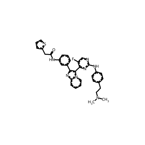 CN(C)CCc1ccc(Nc2ncc(F)c(-c3c(-c4cccc(NC(=O)Cc5cccs5)c4)nc4ccccn34)n2)cc1